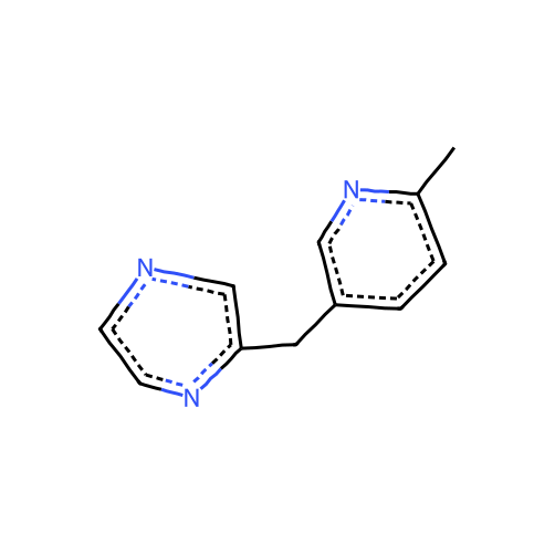 Cc1ccc(Cc2cnccn2)cn1